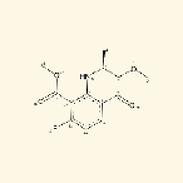 COC[C@H](C)Nc1c(C=O)ccc(F)c1C(=O)OC